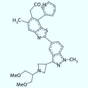 COCC(COC)N1CC(c2nn(C)c3ccc(-c4nc5cc(C)c(CC(=O)O)c(-c6ccccc6)c5s4)cc23)C1